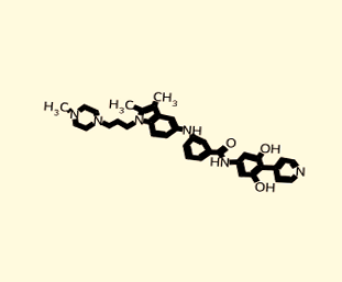 Cc1c(C)n(CCCN2CCN(C)CC2)c2ccc(Nc3cccc(C(=O)Nc4cc(O)c(-c5ccncc5)c(O)c4)c3)cc12